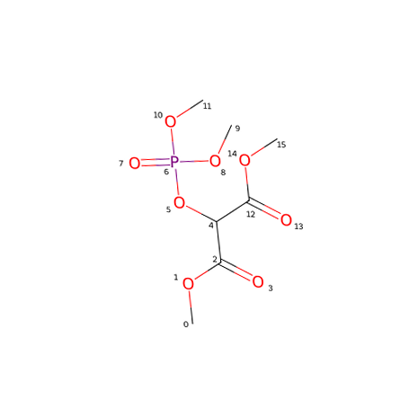 COC(=O)C(OP(=O)(OC)OC)C(=O)OC